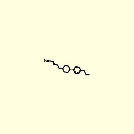 CCCc1ccc([C@H]2CC[C@H](CC/C=C/C#N)CC2)cc1